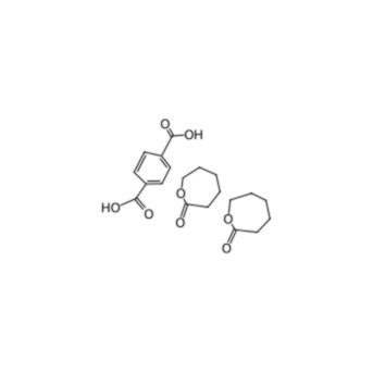 O=C(O)c1ccc(C(=O)O)cc1.O=C1CCCCCO1.O=C1CCCCCO1